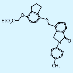 CCOC(=O)COc1ccc(SCc2cccc3c2CN(c2ccc(C)cc2)C3=O)c2c1CCC2